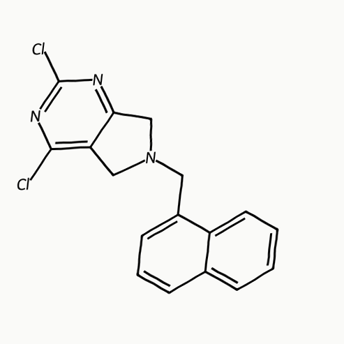 Clc1nc(Cl)c2c(n1)CN(Cc1cccc3ccccc13)C2